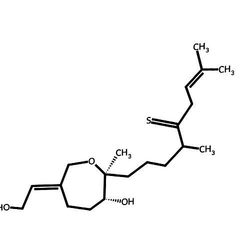 CC(C)=CCC(=S)C(C)CCC[C@]1(C)OC/C(=C/CO)CC[C@H]1O